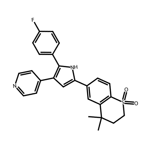 CC1(C)CCS(=O)(=O)c2ccc(-c3cc(-c4ccncc4)c(-c4ccc(F)cc4)[nH]3)cc21